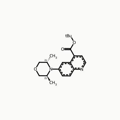 C[C@H]1COC[C@H](C)N1c1ccc2nccc(C(=O)OC(C)(C)C)c2c1